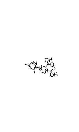 Cc1cnc(N2CCN(C(=O)O)[C@H](C(=O)O)C2)c(C)c1